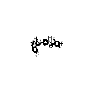 COc1ccc2c(c1)/C(=C/C(=O)c1ccc(NC(=O)c3cc(F)c(F)cc3F)cc1)NC(C)(C)C2